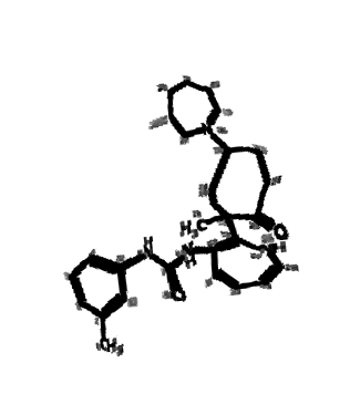 Cc1cccc(NC(=O)NC2=C(C3(C)CC(N4CCCCCC4)CCC3=O)NC=CC=C2)c1